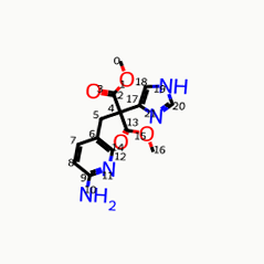 COC(=O)C(Cc1ccc(N)nc1)(C(=O)OC)c1c[nH]cn1